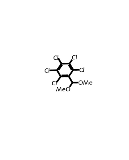 COC(OC)c1c(Cl)c(Cl)c(Cl)c(Cl)c1Cl